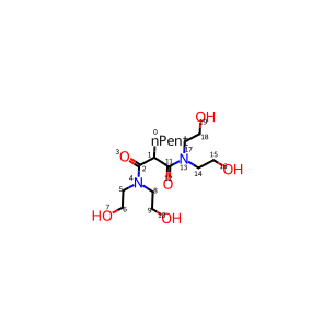 CCCCCC(C(=O)N(CCO)CCO)C(=O)N(CCO)CCO